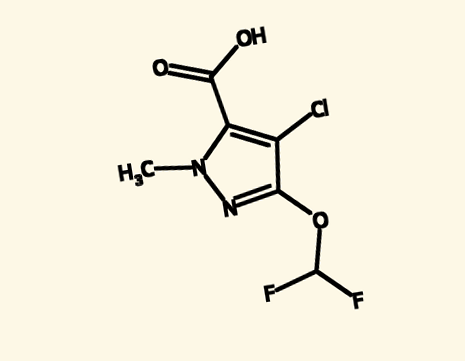 Cn1nc(OC(F)F)c(Cl)c1C(=O)O